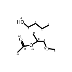 CCCCO.COCC(C)OC(C)=O